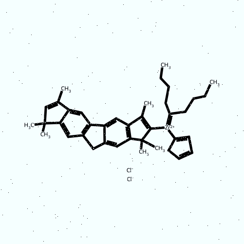 CCCC[C](CCCC)=[Zr+2]([C]1=CC=CC1)[C]1=C(C)c2cc3c(cc2C1(C)C)Cc1cc2c(cc1-3)C(C)=CC2(C)C.[Cl-].[Cl-]